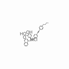 CCCCc1ccc(C#Cc2ccc(CN(Cc3cccc4ccccc34)c3ccc(O)c(C(=O)O)c3)cc2)cc1.Cl